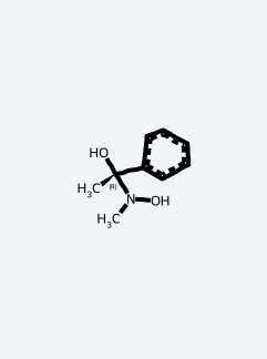 CN(O)[C@](C)(O)c1ccccc1